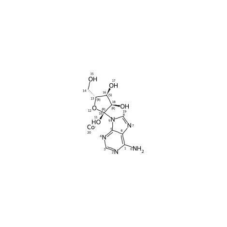 Nc1ncnc2c1ncn2[C@]1(O)O[C@H](CO)[C@@H](O)[C@H]1O.[Co]